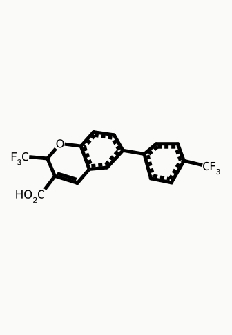 O=C(O)C1=Cc2cc(-c3ccc(C(F)(F)F)cc3)ccc2OC1C(F)(F)F